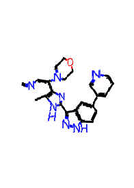 C=N/C=C(\c1nc(-c2n[nH]c3ccc(-c4cccnc4)cc23)[nH]c1C)N1CCOCC1